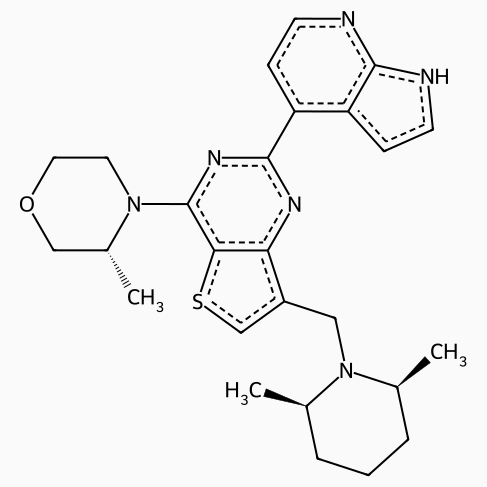 C[C@@H]1COCCN1c1nc(-c2ccnc3[nH]ccc23)nc2c(CN3[C@H](C)CCC[C@@H]3C)csc12